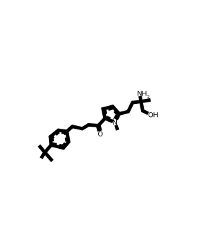 Cn1c(CCC(C)(N)CO)ccc1C(=O)CCCc1ccc(C(C)(C)C)cc1